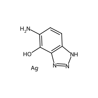 Nc1ccc2[nH]nnc2c1O.[Ag]